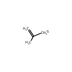 C=C(C)C.[S]